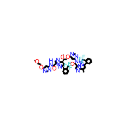 COCCOc1cc(NC(=O)c2cnc3c(C(COc4cc(NC(=O)c5cnc6c(C)cc(-c7ccccc7C(F)(F)F)nn56)ncn4)OC)cc(-c4ccccc4C(F)(F)F)nn23)ncn1